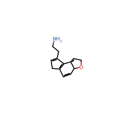 NCCC1=CCC2=C1C1=CCOC1C=C2